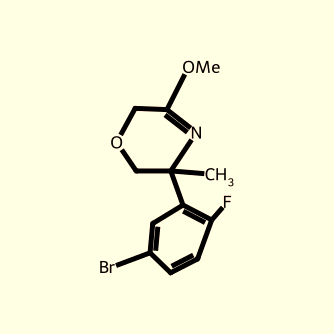 COC1=NC(C)(c2cc(Br)ccc2F)COC1